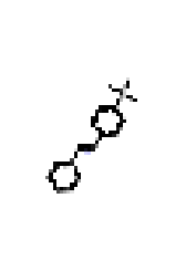 C[Si](C)(C)c1ccc(/C=C/c2ccccc2)cc1